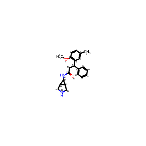 COc1ccc(C)cc1C(CC(=O)NC1C2CNCC21)c1ccccc1